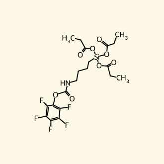 CCC(=O)O[Si](CCCCNC(=O)Oc1c(F)c(F)c(F)c(F)c1F)(OC(=O)CC)OC(=O)CC